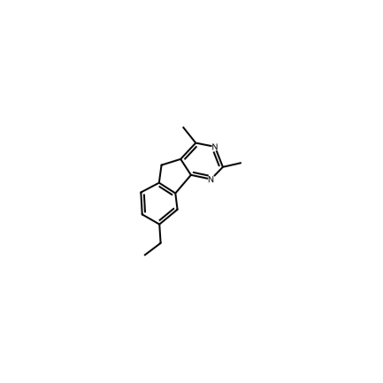 CCc1ccc2c(c1)-c1nc(C)nc(C)c1C2